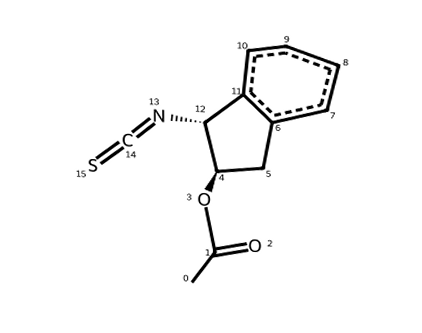 CC(=O)O[C@@H]1Cc2ccccc2[C@H]1N=C=S